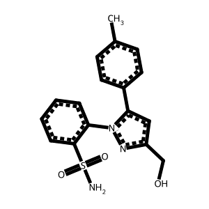 Cc1ccc(-c2cc(CO)nn2-c2ccccc2S(N)(=O)=O)cc1